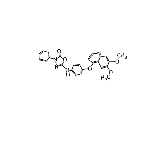 COc1cc2nccc(Oc3ccc(Nc4nn(-c5ccccc5)c(=O)o4)cc3)c2cc1OC